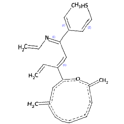 C=C/N=C(\C=C(/C=C)c1cc(=C)ccccc(=C)o1)C(/C=C\S)=C/C